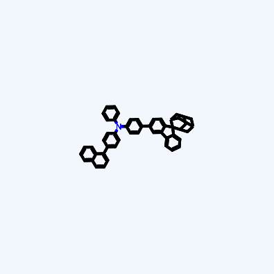 c1ccc(N(c2ccc(-c3ccc4c(c3)-c3ccccc3C43C4CC5CC(C4)CC3C5)cc2)c2ccc(-c3cccc4ccccc34)cc2)cc1